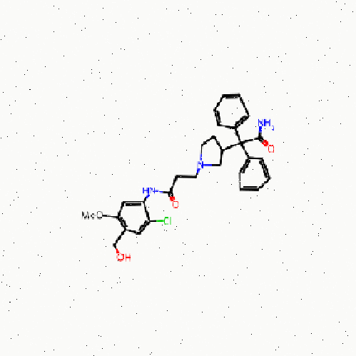 COc1cc(NC(=O)CCN2CCC(C(C(N)=O)(c3ccccc3)c3ccccc3)C2)c(Cl)cc1CO